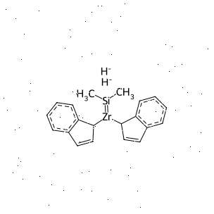 C[Si](C)=[Zr]([CH]1C=Cc2ccccc21)[CH]1C=Cc2ccccc21.[H-].[H-]